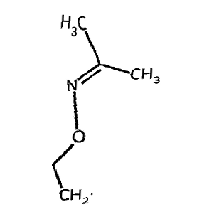 [CH2]CON=C(C)C